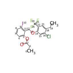 CCC(=O)Oc1cccc(I)c1COc1cc(Cl)c(CC)cc1C(F)(F)F